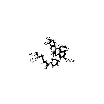 COc1cc2ncnc3c2c(c1OC1CCN(C(=O)/C=C/CN(C)C)CC1)NC(=O)N3c1ccc(Cl)c(Cl)c1F